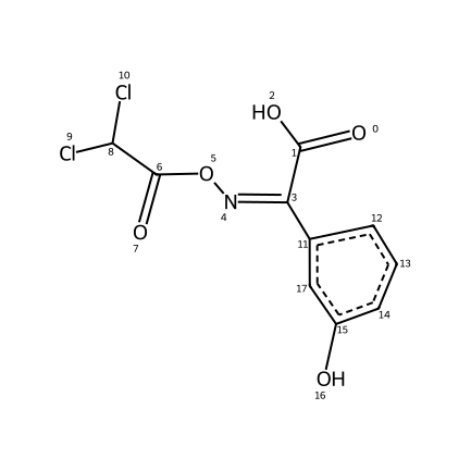 O=C(O)C(=NOC(=O)C(Cl)Cl)c1cccc(O)c1